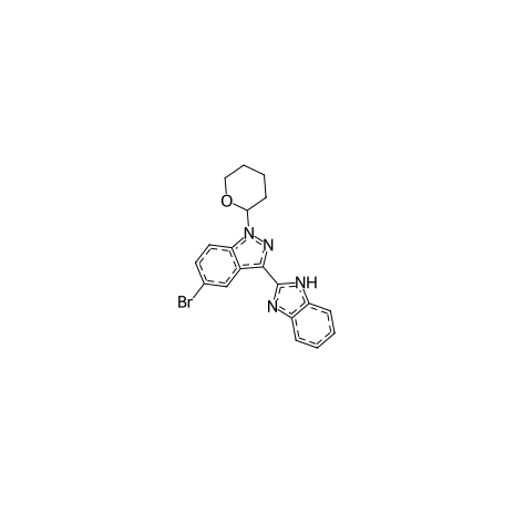 Brc1ccc2c(c1)c(-c1nc3ccccc3[nH]1)nn2C1CCCCO1